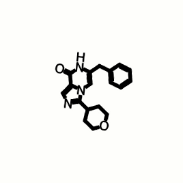 O=c1[nH]c(Cc2ccccc2)cn2c(C3CCOCC3)ncc12